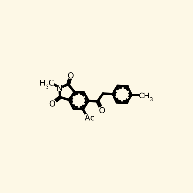 CC(=O)c1cc2c(cc1C(=O)Cc1ccc(C)cc1)C(=O)N(C)C2=O